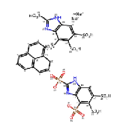 C1=Cc2cccc3cccc(c23)C1.O=S(=O)(O)c1nc2c(S(=O)(=O)O)c(S(=O)(=O)O)c(S(=O)(=O)O)cc2[nH]1.O=S(=O)([O-])c1nc2c(S(=O)(=O)[O-])c(S(=O)(=O)O)c(S(=O)(=O)O)cc2[nH]1.[Na+].[Na+]